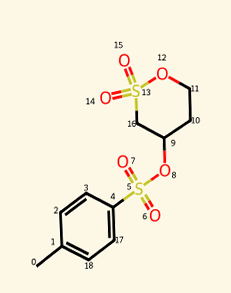 Cc1ccc(S(=O)(=O)OC2CCOS(=O)(=O)C2)cc1